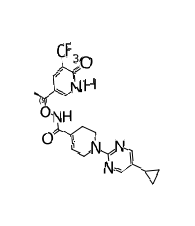 C[C@H](ONC(=O)C1=CCN(c2ncc(C3CC3)cn2)CC1)c1c[nH]c(=O)c(C(F)(F)F)c1